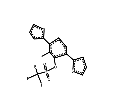 Cc1c(-c2cccs2)ccc(-c2cccs2)c1OS(=O)(=O)C(F)(F)F